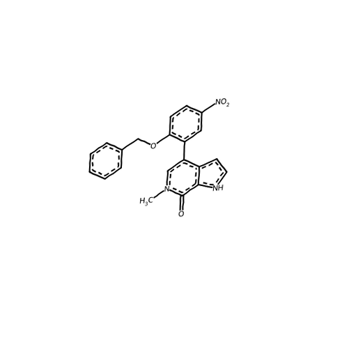 Cn1cc(-c2cc([N+](=O)[O-])ccc2OCc2ccccc2)c2cc[nH]c2c1=O